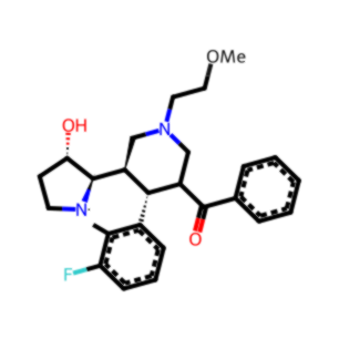 COCCN1CC(C(=O)c2ccccc2)[C@H](c2cccc(F)c2C)[C@@H]([C@H]2[N]CC[C@@H]2O)C1